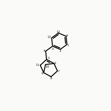 c1ccc(CC2=C3CCC(C3)C2)cc1